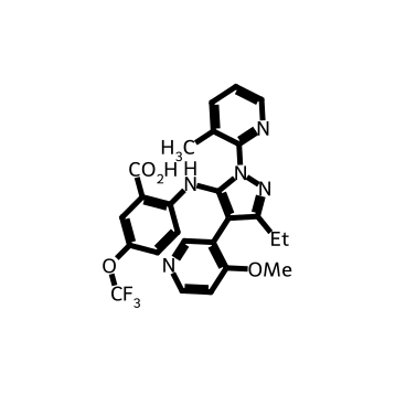 CCc1nn(-c2ncccc2C)c(Nc2ccc(OC(F)(F)F)cc2C(=O)O)c1-c1cnccc1OC